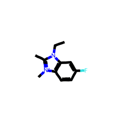 CCn1c(C)[n+](C)c2ccc(F)cc21